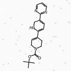 CC(C)(C)OC(=O)N1CC=C(C2=CC=C(c3ncccn3)CN2)CC1